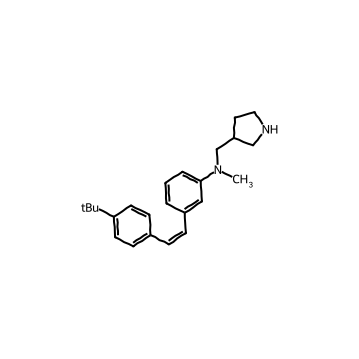 CN(CC1CCNC1)c1cccc(/C=C\c2ccc(C(C)(C)C)cc2)c1